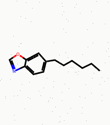 [CH2]CCCCCc1ccc2ncoc2c1